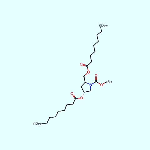 CCCCCCCCCCCCCCCCCC(=O)OC[C@@H]1C[C@@H](OC(=O)CCCCCCCCCCCCCCCCC)CN1C(=O)OC(C)(C)C